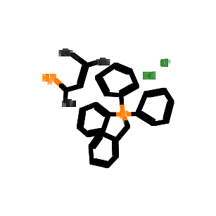 CCCCC(=CC(P)CCCC)CCCC.Cl.[Cl-].c1ccc(C[P+](c2ccccc2)(c2ccccc2)c2ccccc2)cc1